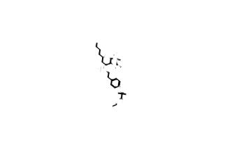 CCCCCCC(NCCc1ccc(OC(C)(C)C(=O)OCC)cc1)c1nn(C)c(=O)n(C)c1=O